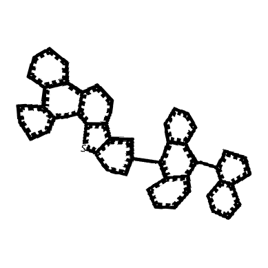 c1ccc2c(-c3c4ccccc4c(-c4ccc5sc6c(ccc7c8ccccc8c8ccccc8c76)c5c4)c4ccccc34)cccc2c1